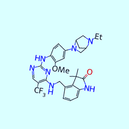 CCN1CC2CC1CN2c1ccc(Nc2ncc(C(F)(F)F)c(NCc3cccc4c3C(C)(C)C(=O)N4)n2)c(OC)c1